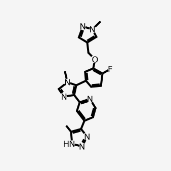 Cc1[nH]nnc1-c1ccnc(-c2ncn(C)c2-c2ccc(F)c(OCc3cnn(C)c3)c2)c1